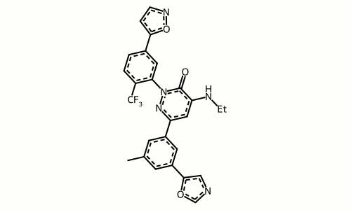 CCNc1cc(-c2cc(C)cc(-c3cnco3)c2)nn(-c2cc(-c3ccno3)ccc2C(F)(F)F)c1=O